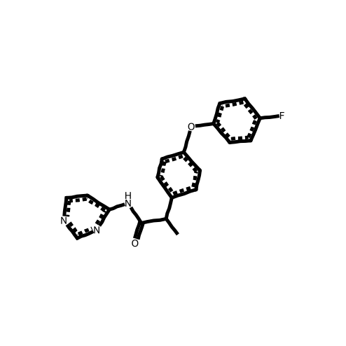 CC(C(=O)Nc1ccncn1)c1ccc(Oc2ccc(F)cc2)cc1